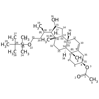 CC(=O)O[C@H]1CC[C@@]2(C)C(=CC[C@H]3[C@@H]4CC(O)[C@H]([C@H](C)CCO[Si](C)(C)C(C)(C)C)[C@@]4(C)CC[C@@H]32)C1